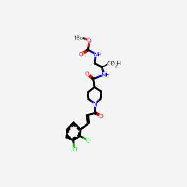 CC(C)(C)OC(=O)NC[C@H](NC(=O)C1CCN(C(=O)C=Cc2cccc(Cl)c2Cl)CC1)C(=O)O